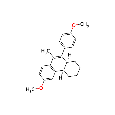 COc1ccc(C2=C(C)c3ccc(OC)cc3[C@@H]3CCCC[C@H]23)cc1